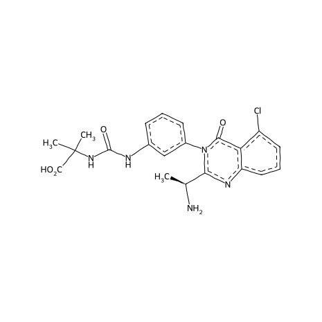 C[C@H](N)c1nc2cccc(Cl)c2c(=O)n1-c1cccc(NC(=O)NC(C)(C)C(=O)O)c1